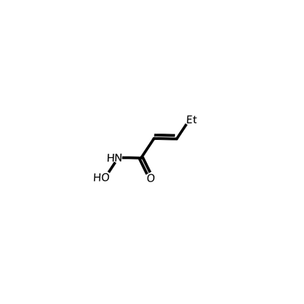 CCC=CC(=O)NO